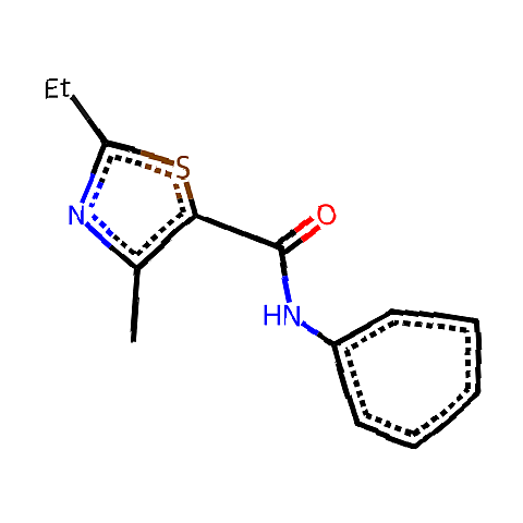 CCc1nc(C)c(C(=O)Nc2ccccc2)s1